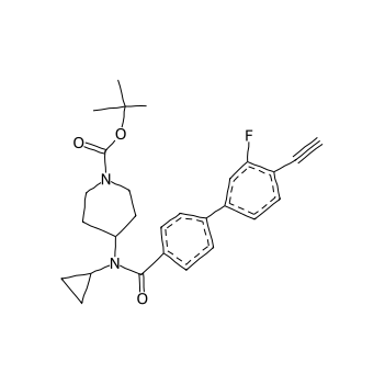 C#Cc1ccc(-c2ccc(C(=O)N(C3CC3)C3CCN(C(=O)OC(C)(C)C)CC3)cc2)cc1F